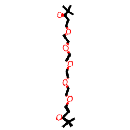 CC(C)(C)C(=O)CCOCCOCCOCCOCCOCCC(=O)C(C)(C)C